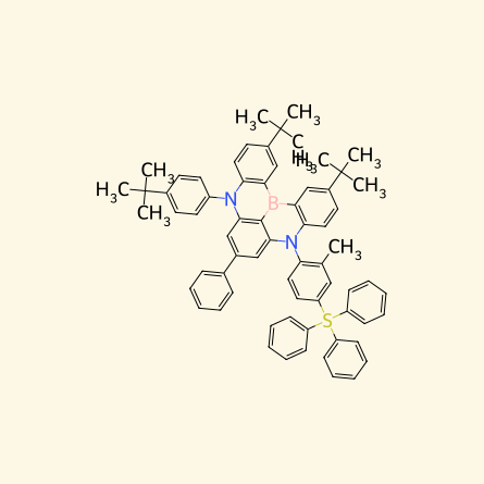 Cc1cc(S(c2ccccc2)(c2ccccc2)c2ccccc2)ccc1N1c2ccc(C(C)(C)C)cc2B2c3cc(C(C)(C)C)ccc3N(c3ccc(C(C)(C)C)cc3)c3cc(-c4ccccc4)cc1c32